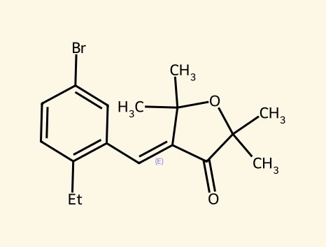 CCc1ccc(Br)cc1/C=C1/C(=O)C(C)(C)OC1(C)C